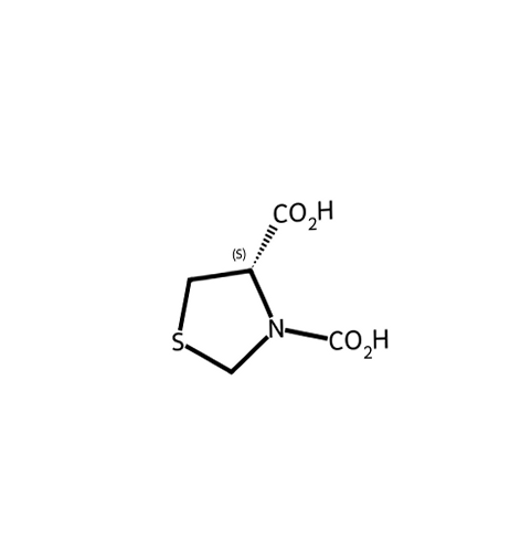 O=C(O)[C@H]1CSCN1C(=O)O